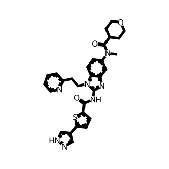 CN(C(=O)C1CCOCC1)c1ccc2c(c1)nc(NC(=O)c1ccc(-c3cn[nH]c3)s1)n2CCc1ccccn1